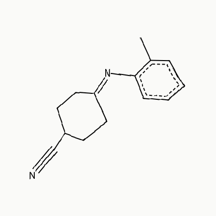 Cc1ccccc1N=C1CCC(C#N)CC1